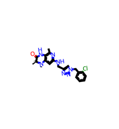 Cc1nc(NCc2cn(Cc3ccccc3Cl)nn2)cc2c1NC(=O)[C@H](C)N2C